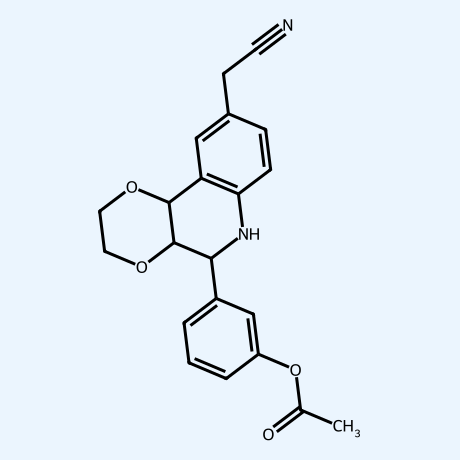 CC(=O)Oc1cccc(C2Nc3ccc(CC#N)cc3C3OCCOC23)c1